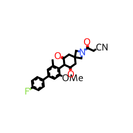 COc1cc(-c2ccc(F)cc2)cc(C)c1C1C(=O)CC2(CC1=O)CN(C(=O)CC#N)C2